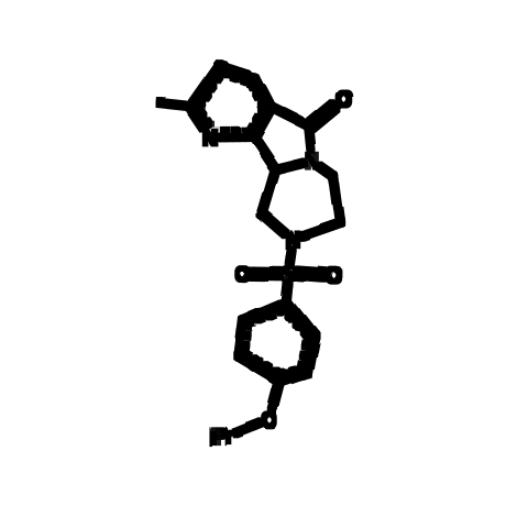 Cc1ccc2c(n1)C1CN(S(=O)(=O)c3ccc(OC(C)C)cc3)CCN1C2=O